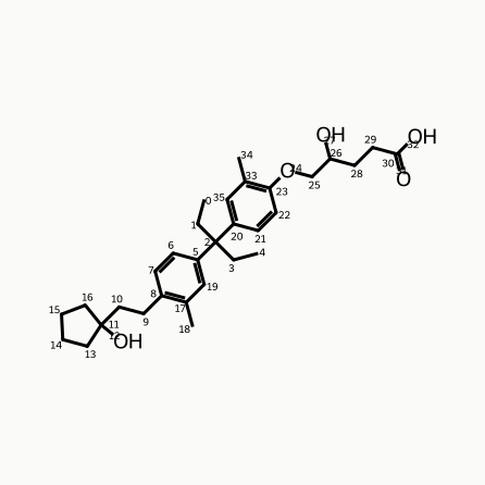 CCC(CC)(c1ccc(CCC2(O)CCCC2)c(C)c1)c1ccc(OCC(O)CCC(=O)O)c(C)c1